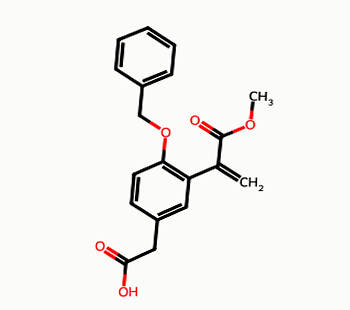 C=C(C(=O)OC)c1cc(CC(=O)O)ccc1OCc1ccccc1